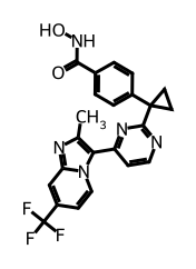 Cc1nc2cc(C(F)(F)F)ccn2c1-c1ccnc(C2(c3ccc(C(=O)NO)cc3)CC2)n1